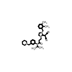 Cc1cccc(CN2CCN(CCC(=O)N(c3cccc(CN4CCCCC4)c3)C(C)C)C2=C(C#N)C#N)c1C